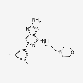 Cc1cc(C)cc(-c2cn3nc(N)nc3c(NCCCN3CCOCC3)n2)c1